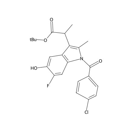 Cc1c(C(C)C(=O)OC(C)(C)C)c2cc(O)c(F)cc2n1C(=O)c1ccc(Cl)cc1